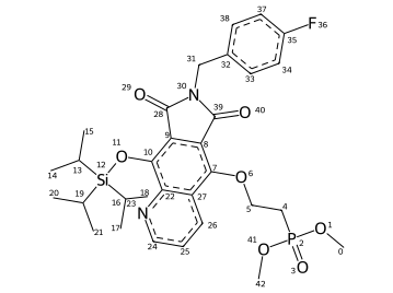 COP(=O)(CCOc1c2c(c(O[Si](C(C)C)(C(C)C)C(C)C)c3ncccc13)C(=O)N(Cc1ccc(F)cc1)C2=O)OC